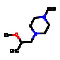 CCOC(C=O)CN1CCN(C=O)CC1